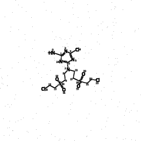 [NH]c1nc(Cl)nc(N(CCS(=O)(=O)CCCl)CCS(=O)(=O)CCCl)n1